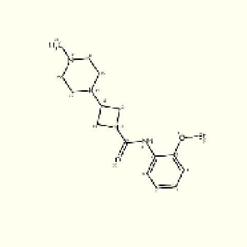 CCOc1ccccc1NC(=O)N1CC(N2CCN(C)CC2)C1